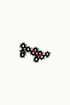 c1ccc(-c2ccc(-c3ccccc3N(c3ccc(-c4ccc(-c5ccccc5-c5cc6ccccc6o5)cc4)cc3)c3ccccc3-c3ccccc3)cc2)cc1